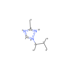 Cc1ncn(C(C)C(C)C)n1